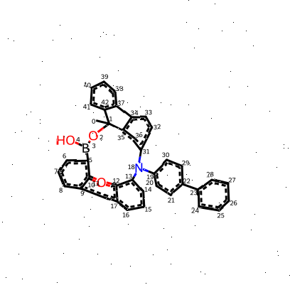 CC12OB(O)c3cccc4c3oc3c(cccc34)N(c3ccc(-c4ccccc4)cc3)c3ccc(c1c3)-c1ccccc12